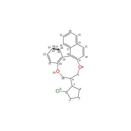 ClC1CCCC1C1COc2ccc3ccccc3c2-c2c(ccc3ccccc23)OC1